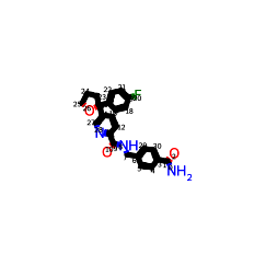 NC(=O)c1ccc(CNC(=O)c2ccc(C3(c4ccc(F)cc4)CCCO3)cn2)cc1